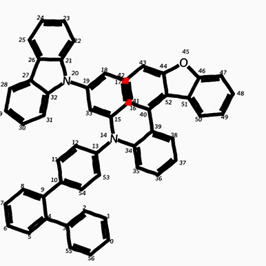 c1ccc(-c2ccccc2-c2ccc(N(c3cccc(-n4c5ccccc5c5ccccc54)c3)c3ccccc3-c3cccc4oc5ccccc5c34)cc2)cc1